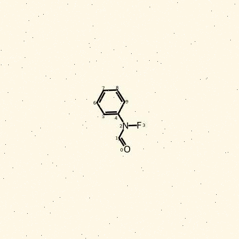 O=[C]N(F)c1ccccc1